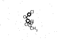 CCOC(=O)C1(Cl)C=CC(C(=O)c2ccc(Cl)cc2)=CC1Cl